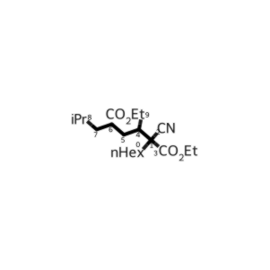 CCCCCCC(C#N)(C(=O)OCC)C(CCCC(C)C)C(=O)OCC